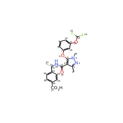 Cc1nn(C)c(Oc2cccc(OC(F)F)c2)c1C(=O)N[C@@H](C)c1ccc(C(=O)O)cc1